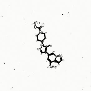 COc1cc(-c2cnn(C3CCN(C(=O)OC(C)(C)C)CC3)c2C)cn2nccc12